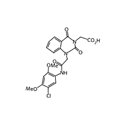 COc1cc(OC)c(NC(=O)Cn2c(=O)n(CC(=O)O)c(=O)c3ccccc32)cc1Cl